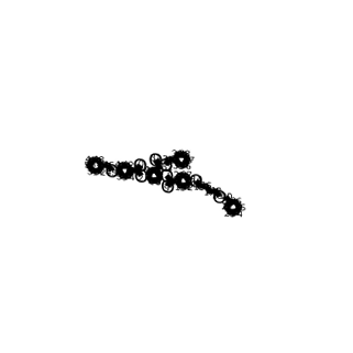 O=C(Oc1ccc(OC(=O)c2ccc(OCCCCOCC3CC=CCC3)cc2)c(C(=O)OCc2ccccc2)c1)c1ccc(OCC2CC=CCC2)cc1